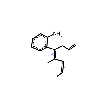 C=CC/C(=C(C)\C=C/C)c1ccccc1N